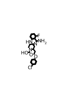 NC1=NC2(CCN(C(=O)O)C(CCOc3ccc(Cl)cc3)C2)Nc2cccc(F)c21